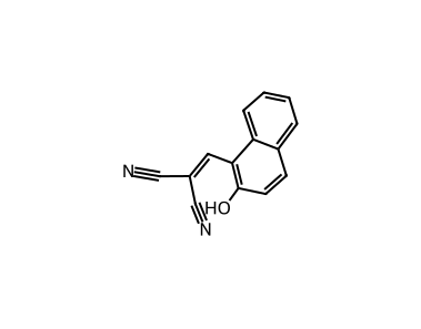 N#CC(C#N)=Cc1c(O)ccc2ccccc12